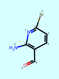 Nc1nc(Br)ccc1C=O